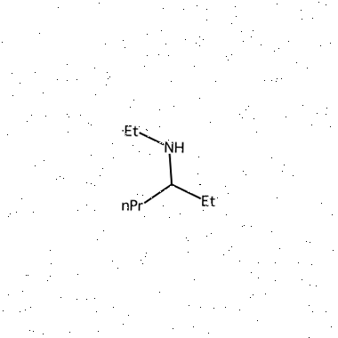 C[CH]NC(CC)CCC